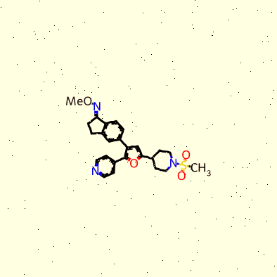 CON=C1CCc2cc(-c3cc(C4CCN(S(C)(=O)=O)CC4)oc3-c3ccncc3)ccc21